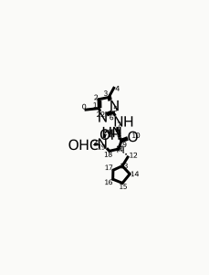 Cc1cc(C)nc(NNC(=O)[C@H](CC2CCCC2)CN(O)C=O)n1